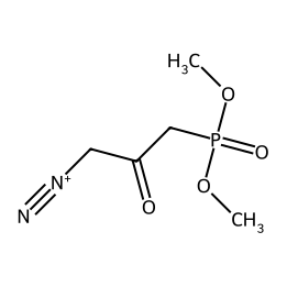 COP(=O)(CC(=O)C[N+]#N)OC